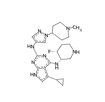 CN1CCC(n2cc(Nc3nc(N[C@H]4CNCC[C@H]4F)c4c(C5CC5)c[nH]c4n3)cn2)CC1